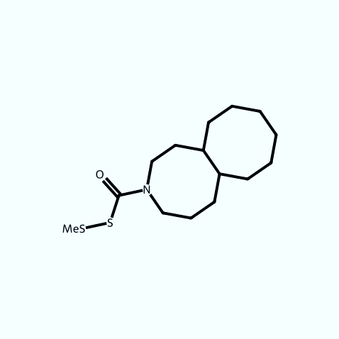 CSSC(=O)N1CCCC2CCCCCCC2CC1